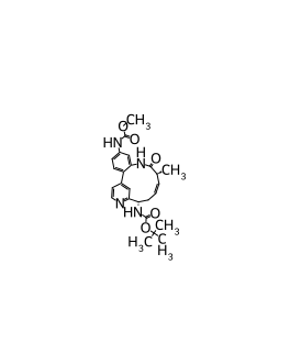 COC(=O)Nc1ccc2c(c1)NC(=O)[C@@H](C)C=CC[C@H](NC(=O)OC(C)(C)C)c1cc-2ccn1